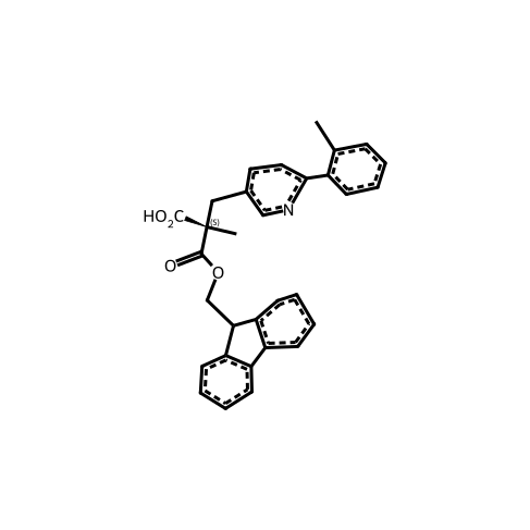 Cc1ccccc1-c1ccc(C[C@@](C)(C(=O)O)C(=O)OCC2c3ccccc3-c3ccccc32)cn1